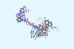 C[C@H]1C=C2C=C[C@H](C)[C@H](CC[C@@H]3C[C@@H](O[Si](C)(C)C(C)(C)C)CC(=O)O3)[C@H]2[C@@H](OC(=O)C(C)(C)CCC(=O)NCCOCCOCCNc2cccc3nnn(C4CCC(=O)NC4=O)c(=O)c23)C1